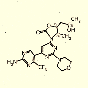 C[C@H](O)C[C@@H]1OC(=O)N(c2cc(-c3cnc(N)nc3C(F)(F)F)nc(N3CCOCC3)n2)[C@H]1C